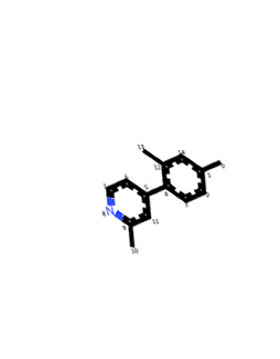 Cc1ccc(-c2ccnc(C)c2)c(C)c1